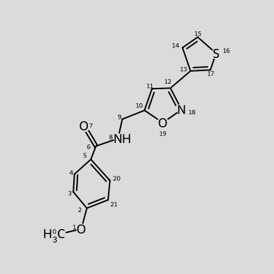 COc1ccc(C(=O)NCc2cc(-c3ccsc3)no2)cc1